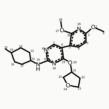 COc1ccc(-c2cnc(NC3CCC(C)CC3)nc2OC2CCOC2)c(OC)n1